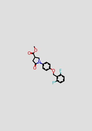 COC(=O)C1CC(=O)N(c2ccc(OCc3c(F)cccc3F)cc2)C1